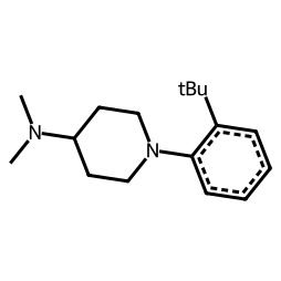 CN(C)C1CCN(c2ccccc2C(C)(C)C)CC1